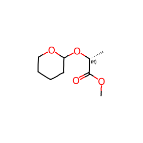 COC(=O)[C@@H](C)OC1CCCCO1